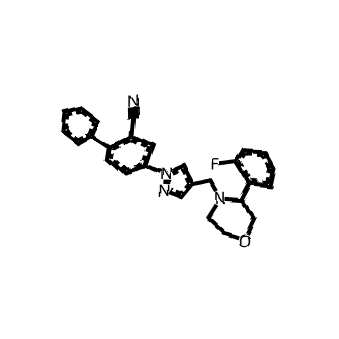 N#Cc1cc(-n2cc(CN3CCOCC3c3ccccc3F)cn2)ccc1-c1ccccc1